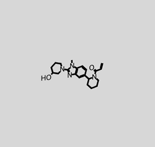 C=CC(=O)N1CCCCC1c1ccc2c(c1)nc(N1CCCC(O)C1)n2C